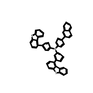 c1cc(-c2cccc3sc4ccccc4c23)cc(N(c2ccc(-c3ccc4ccccc4c3)cc2)c2ccc(-c3cccc4sc5ccccc5c34)cc2)c1